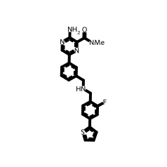 CNC(=O)c1nc(-c2cccc(CNCc3ccc(-c4cccs4)cc3F)c2)cnc1N